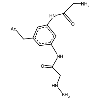 BNCC(=O)Nc1cc(CC(C)=O)cc(NC(=O)CN)c1